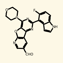 O=Cc1cnc2oc3c(N4CCOCC4)nc(-c4c(F)ccc5[nH]ccc45)nc3c2c1